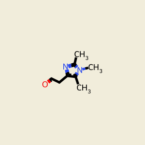 Cc1nc(CC=O)c(C)n1C